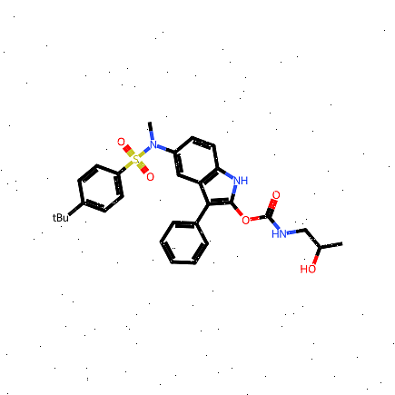 CC(O)CNC(=O)Oc1[nH]c2ccc(N(C)S(=O)(=O)c3ccc(C(C)(C)C)cc3)cc2c1-c1ccccc1